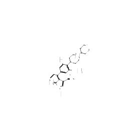 Cc1cc(-c2ccnc3[nH]cc(C#N)c23)cc(F)c1C1CCN(C2CCSCC2)CC1